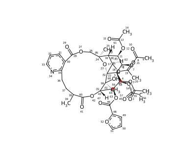 CC(=O)OC[C@]12[C@H](OC(C)=O)[C@H](OC(C)=O)[C@@H]3[C@@H](OC(C)=O)[C@@]14O[C@@]3(C)COC(=O)c1cccnc1CCC(C)C(=O)O[C@@H]([C@H](OC(=O)c1ccco1)[C@@H]2OC(C)=O)[C@]4(C)O